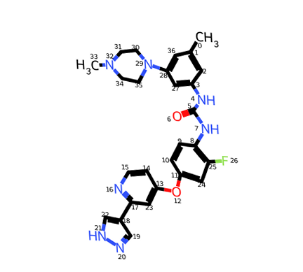 Cc1cc(NC(=O)Nc2ccc(Oc3ccnc(-c4cn[nH]c4)c3)cc2F)cc(N2CCN(C)CC2)c1